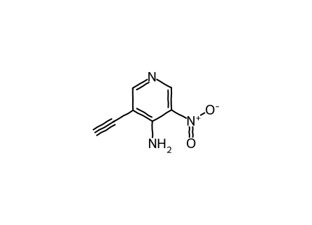 C#Cc1cncc([N+](=O)[O-])c1N